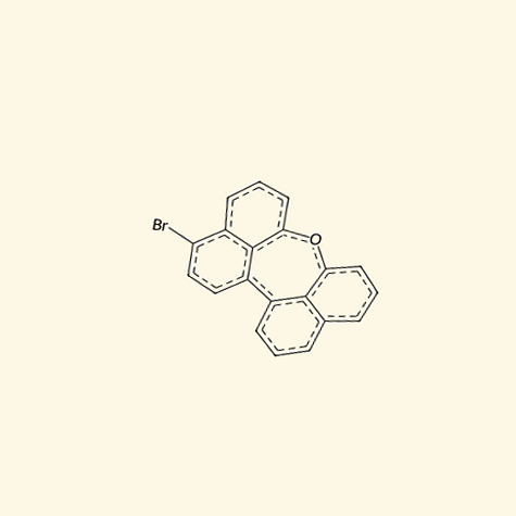 Brc1ccc2c3cccc4cccc(oc5cccc1c52)c43